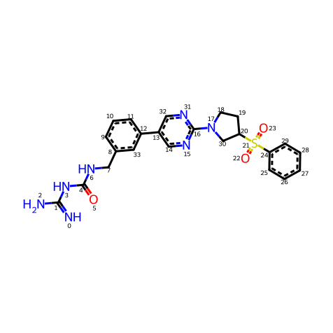 N=C(N)NC(=O)NCc1cccc(-c2cnc(N3CCC(S(=O)(=O)c4ccccc4)C3)nc2)c1